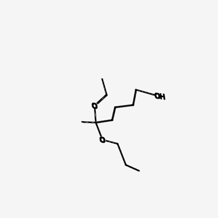 CCCOC(C)(CCCCO)OCC